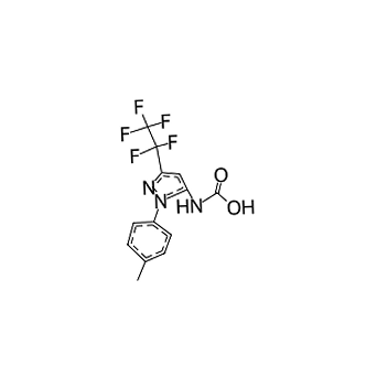 Cc1ccc(-n2nc(C(F)(F)C(F)(F)F)cc2NC(=O)O)cc1